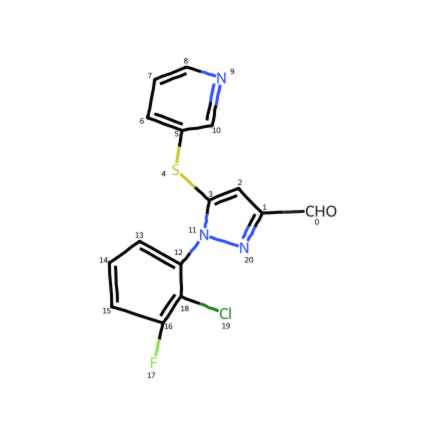 O=Cc1cc(Sc2cccnc2)n(-c2cccc(F)c2Cl)n1